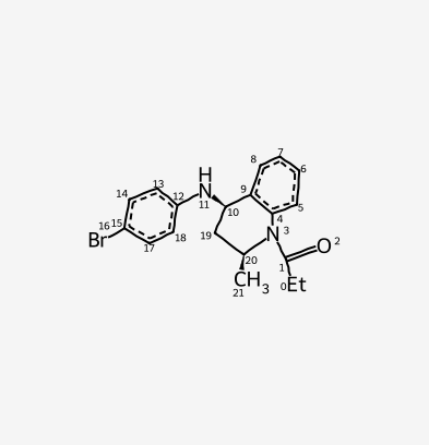 CCC(=O)N1c2ccccc2[C@H](Nc2ccc(Br)cc2)C[C@@H]1C